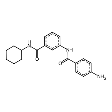 Nc1ccc(C(=O)Nc2cccc(C(=O)NC3CCCCC3)c2)cc1